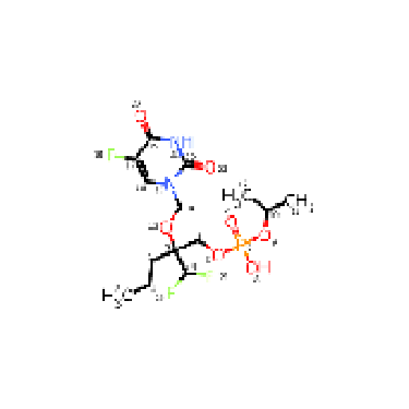 CCCC(COP(=O)(O)OC(C)C)(OCn1cc(F)c(=O)[nH]c1=O)C(F)F